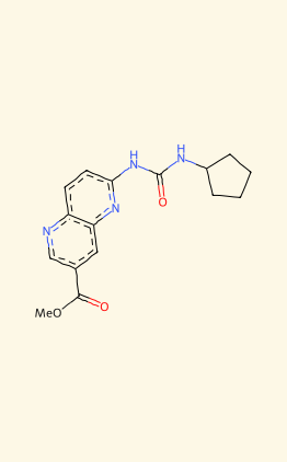 COC(=O)c1cnc2ccc(NC(=O)NC3CCCC3)nc2c1